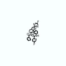 O=C(NC1=NC2(c3cc(NC(=O)c4ccc(F)cn4)ccc3F)CN(c3ncc(F)cn3)CC2CS1)c1ccccc1